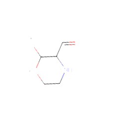 O=CC1NCCOC1O